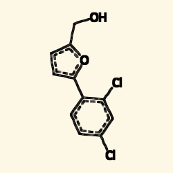 OCc1ccc(-c2ccc(Cl)cc2Cl)o1